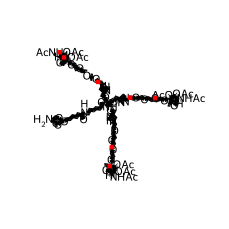 CC(=O)N[C@H]1[C@H]2OC[C@](COCCOCCOCCOCCn3cc(COCC(COCc4cn(CCOCCOCCOCCOC[C@@]56CO[C@@H](O5)[C@H](NC(C)=O)[C@@H](OC(C)=O)[C@H]6OC(C)=O)nn4)(COCc4cn(CCOCCOCCOCCOC[C@@]56CO[C@@H](O5)[C@H](NC(C)=O)[C@@H](OC(C)=O)[C@H]6OC(C)=O)nn4)NC(=O)CCCCCNC(=O)CCCCCOC4OCC(N)CO4)nn3)(O2)[C@H](OC(C)=O)[C@@H]1OC(C)=O